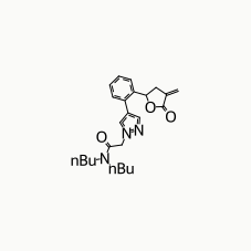 C=C1CC(c2ccccc2-c2cnn(CC(=O)N(CCCC)CCCC)c2)OC1=O